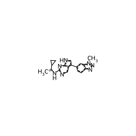 C[C@@H](Nc1ncc2c(-c3ccc4nnn(C)c4c3)c[nH]c2n1)C1CC1